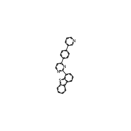 c1cncc(-c2ccc(-c3ccnc(-c4cccc5c4sc4ccccc45)n3)cc2)c1